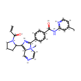 C=CC(=O)N1CCCC1C1=C2C=NC=C[N+]2(C)C(c2ccc(C(=O)Nc3cc(C)ccn3)cc2)=N1